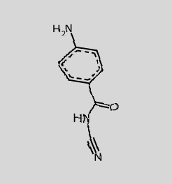 N#CNC(=O)c1ccc(N)cc1